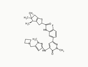 C[C@@H]1C2=C(CC1(C)C)SC(C(=O)Nc1cc(-c3cc(Nc4cc(CN5CCC5)n(C)n4)c(=O)n(C)n3)ccc1F)C2